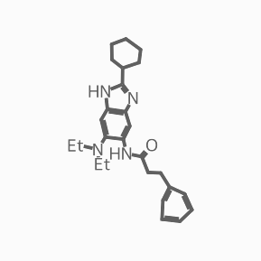 CCN(CC)c1cc2[nH]c(C3CCCCC3)nc2cc1NC(=O)CCc1ccccc1